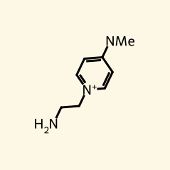 CNc1cc[n+](CCN)cc1